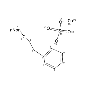 CCCCCCCCCCCCc1ccccc1.O=S(=O)([O-])[O-].[Cu+2]